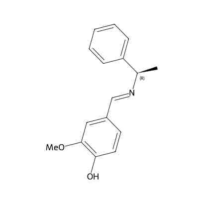 COc1cc(C=N[C@H](C)c2ccccc2)ccc1O